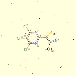 Cc1ncsc1-c1nc(Cl)c(Cl)c(Cl)n1